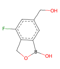 OCc1cc(F)c2c(c1)B(O)OC2